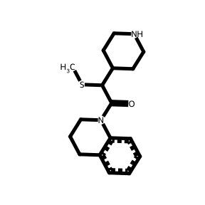 CSC(C(=O)N1CCCc2ccccc21)C1CCNCC1